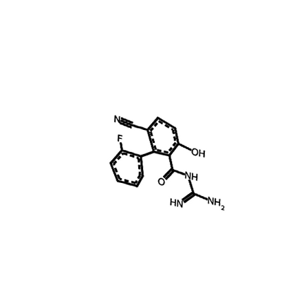 N#Cc1ccc(O)c(C(=O)NC(=N)N)c1-c1ccccc1F